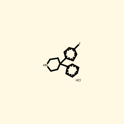 Cl.Fc1ccc(C2(c3ccccc3)CCNCC2)cc1